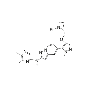 CCN1CC[C@@H]1COc1cnn(C)c1-c1ccn2nc(Nc3cnc(C)c(C)n3)cc2c1